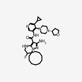 Nc1nn2c(c1C(=O)Nc1cncc(C3CC3)c1N1CCN([C@@H]3CCOC3)CC1)NCC(F)C21CCCCCCCCC1